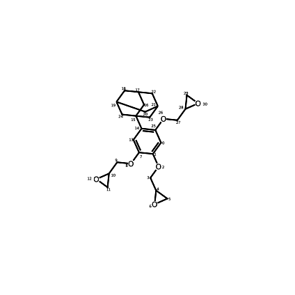 c1c(OCC2CO2)c(OCC2CO2)cc(C23CC4CC(CC(C4)C2)C3)c1OCC1CO1